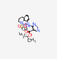 CC(C)OC(=O)c1cncnc1Nc1cccc2c1N(S(C)(=O)=O)CCC2